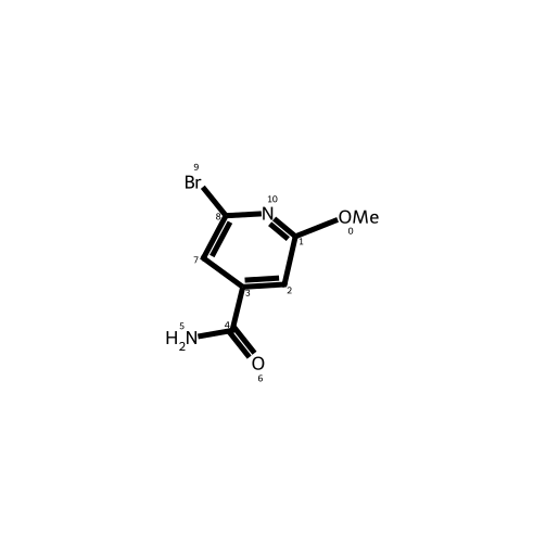 COc1cc(C(N)=O)cc(Br)n1